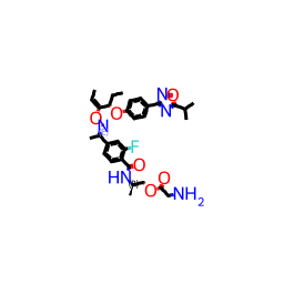 CC=C(O/N=C(\C)c1ccc(C(=O)N[C@H](C)COC(=O)CN)c(F)c1)C(CC)Oc1ccc(-c2noc(C(C)C)n2)cc1